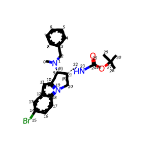 CN(Cc1ccccc1)[C@H]1c2cc3cc(Br)ccc3n2C[C@H]1CNC(=O)OC(C)(C)C